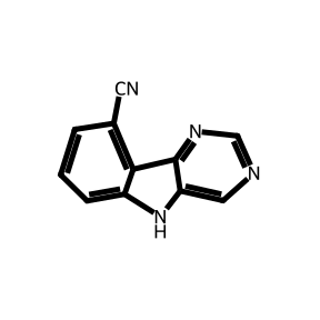 N#Cc1cccc2[nH]c3cncnc3c12